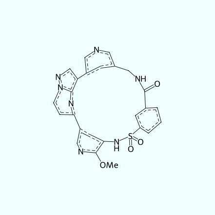 COc1ncc2cc1NS(=O)(=O)c1cccc(c1)C(=O)NCc1cncc(c1)-c1cnn3ccc-2nc13